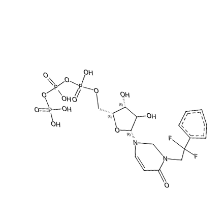 O=C1C=CN([C@@H]2O[C@H](COP(=O)(O)OP(=O)(O)OP(=O)(O)O)[C@H](O)C2O)CN1CC(F)(F)c1ccccc1